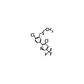 CCSCc1cc(-c2ncc(C(F)(F)F)cc2Cl)ccc1Cl